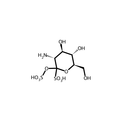 N[C@@H]1[C@@H](O)[C@H](O)[C@@H](CO)OC1(OS(=O)(=O)O)S(=O)(=O)O